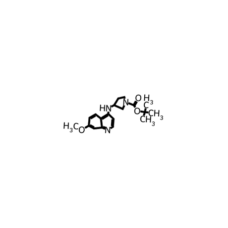 COc1ccc2c(NC3CCN(C(=O)OC(C)(C)C)C3)ccnc2c1